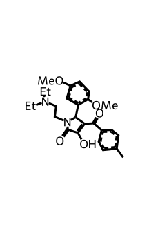 CCN(CC)CCN1C(=O)C(O)=C(C(=O)c2ccc(C)cc2)C1c1cc(OC)ccc1OC